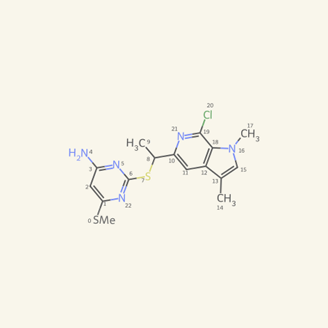 CSc1cc(N)nc(SC(C)c2cc3c(C)cn(C)c3c(Cl)n2)n1